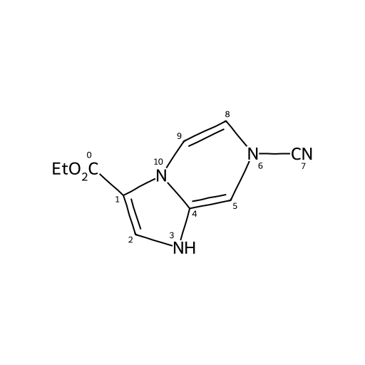 CCOC(=O)C1=CNC2=CN(C#N)C=CN21